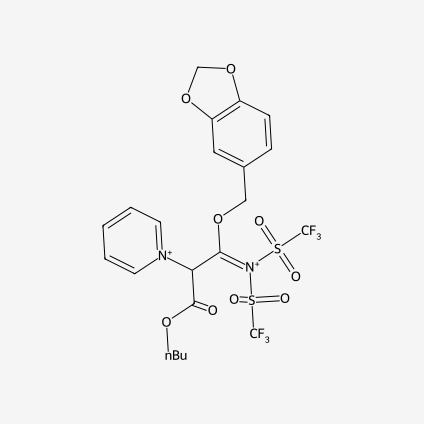 CCCCOC(=O)C(C(OCc1ccc2c(c1)OCO2)=[N+](S(=O)(=O)C(F)(F)F)S(=O)(=O)C(F)(F)F)[n+]1ccccc1